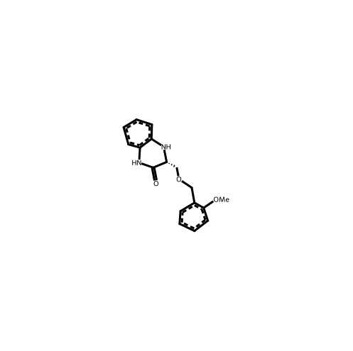 COc1ccccc1COC[C@H]1Nc2ccccc2NC1=O